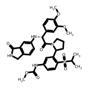 COC(=O)Nc1ccc(S(=O)(=O)C(C)C)c(C2CCCN2C(=O)[C@H](Nc2ccc3c(c2)C(=O)NC3)c2ccc(OC)c(OC)c2)c1